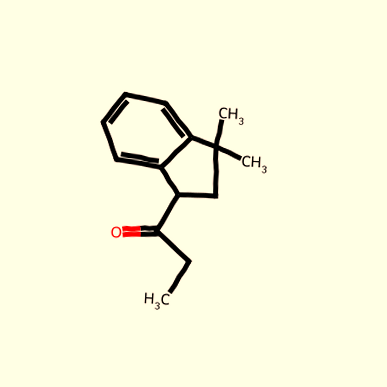 CCC(=O)C1CC(C)(C)c2ccccc21